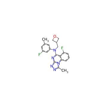 Cc1cc(F)cc(N(CC2COC2)c2nc3nnc(C)n3c3cccc(F)c23)c1